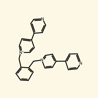 c1ccc(C[n+]2ccc(-c3ccncc3)cc2)c(C[n+]2ccc(-c3ccncc3)cc2)c1